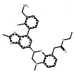 CCOC(=O)Cc1cccc2c1O[C@H](c1cc(-c3cccc(CN)c3F)c3nc(C)oc3c1)CN2C